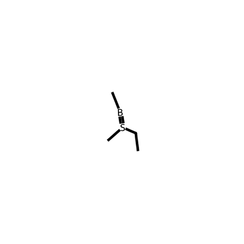 C/B=S(\C)CC